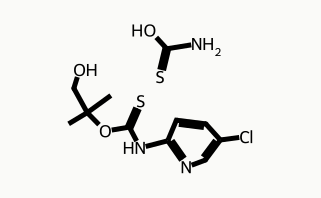 CC(C)(CO)OC(=S)Nc1ccc(Cl)cn1.NC(O)=S